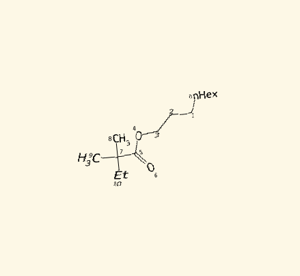 CCCCCCCCCOC(=O)C(C)(C)CC